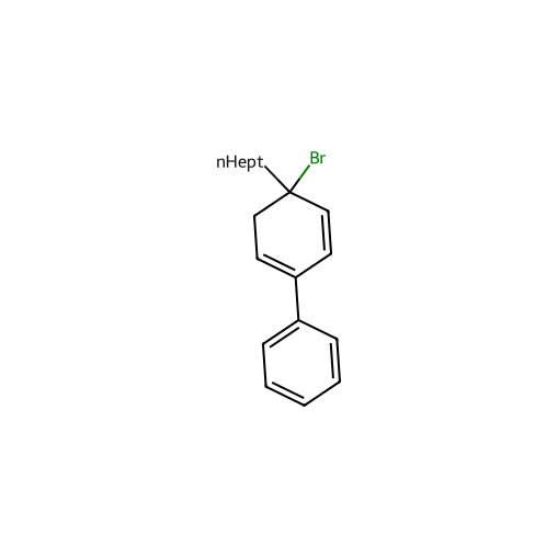 CCCCCCCC1(Br)C=CC(c2ccccc2)=CC1